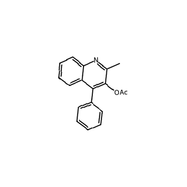 CC(=O)Oc1c(C)nc2ccccc2c1-c1ccccc1